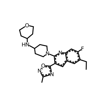 CCc1cc2cc(-c3nc(C)no3)c(N3CCC(NC4CCOCC4)CC3)nc2cc1F